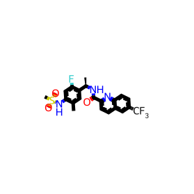 Cc1cc([C@@H](C)NC(=O)c2ccc3cc(C(F)(F)F)ccc3n2)c(F)cc1NS(C)(=O)=O